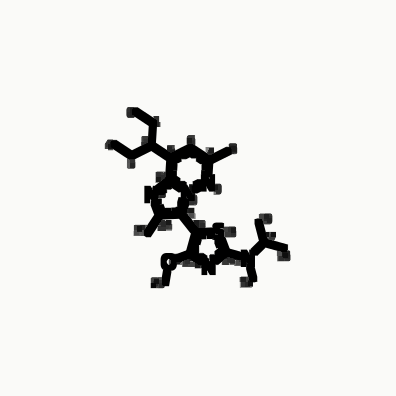 CCC(CC)c1cc(C)nn2c(-c3sc(N(C)C(C)C)nc3OC)c(C)nc12